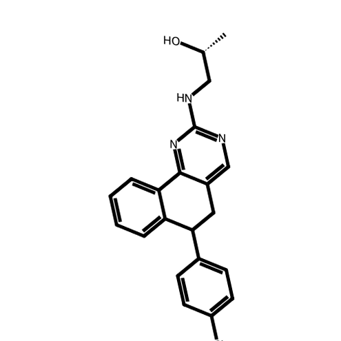 C[C@@H](O)CNc1ncc2c(n1)-c1ccccc1C(c1ccc(Cl)cc1)C2